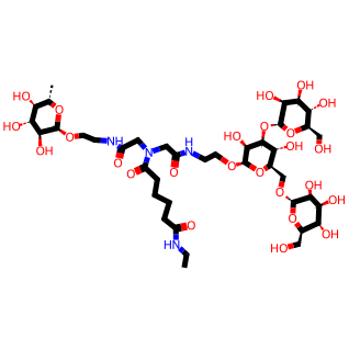 CCNC(=O)CCCCC(=O)N(CC(=O)NCCO[C@@H]1O[C@@H](C)[C@@H](O)[C@@H](O)[C@@H]1O)CC(=O)NCCO[C@@H]1O[C@H](CO[C@H]2O[C@H](CO)[C@@H](O)[C@H](O)[C@@H]2O)[C@@H](O)[C@H](O[C@H]2O[C@H](CO)[C@@H](O)[C@H](O)[C@@H]2O)[C@@H]1O